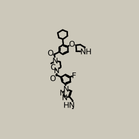 CNCc1cn(-c2cc(F)cc(C(=O)N3CCN(C(=O)c4ccc(O[C@H]5CCNC5)c(C5CCCCC5)c4)CC3)c2)nn1